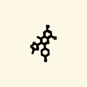 CCc1cc(Cl)c2nc(N3CCC(=O)CC3)c(-c3nc(C)no3)c(C)c2c1